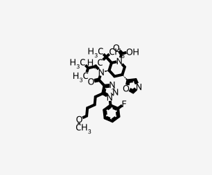 COCCCCc1c(C(=O)N(CC(C)C)[C@H]2C[C@@H](c3cnco3)CN(C(=O)O)C2C(C)(C)C)nnn1-c1ccccc1F